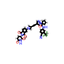 N#Cc1ccc(NC(=O)C2(n3cc(C#CC4CN(c5ccc6c(c5)C(=O)N(C5CCC(=O)NC5=O)C6=O)C4)cn3)CCCC2)cc1C(F)(F)F